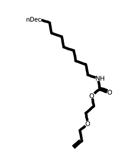 C=CCOCCOC(=O)NCCCCCCCCCCCCCCCCCC